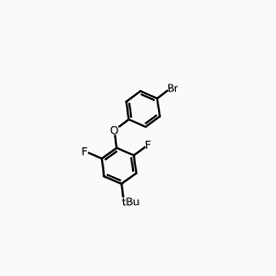 CC(C)(C)c1cc(F)c(Oc2ccc(Br)cc2)c(F)c1